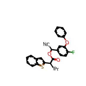 CC(C)C(C(=O)OC(C#N)c1ccc(F)c(Oc2ccccc2)c1)c1cc2ccccc2s1